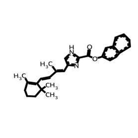 CC1=C(C=C/C(C)=C/c2c[nH]c(C(=O)Oc3ccc4ccccc4c3)n2)C(C)(C)CCC1